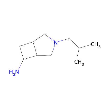 CC(C)CN1CC2CC(N)C2C1